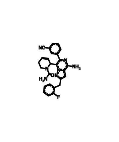 N#Cc1cccc(-c2nc(N)c3cc(Cc4ccccc4F)nn3c2C2C=CCCN2C(N)=O)c1